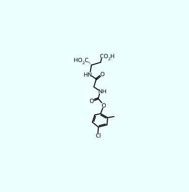 Cc1cc(Cl)ccc1OC(=O)NCC(=O)N[C@@H](CC(=O)O)C(=O)O